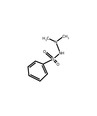 CN(C)NS(=O)(=O)c1ccccc1